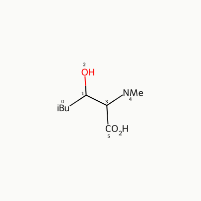 CCC(C)C(O)C(NC)C(=O)O